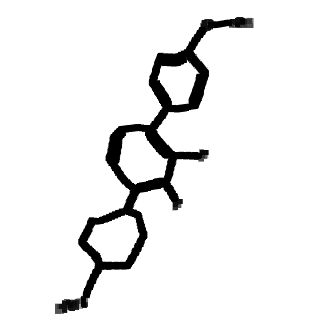 CCCCCCCCOc1ccc(-c2ccc(C3CCC(CCCCC)CC3)c(F)c2F)cc1